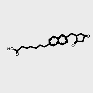 O=C(O)CCCCCCc1ccc2cc(CC3CC(=O)CC3=O)ccc2c1